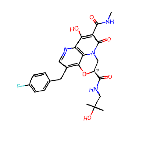 CNC(=O)c1c(O)c2ncc(Cc3ccc(F)cc3)c3c2n(c1=O)C[C@@H](C(=O)NCC(C)(C)O)O3